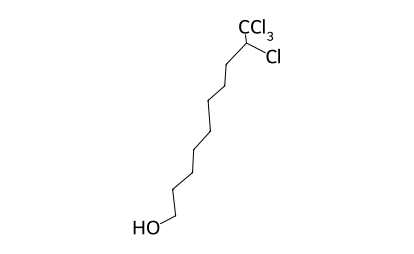 OCCCCCCCCC(Cl)C(Cl)(Cl)Cl